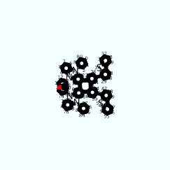 c1ccc(-n2c3ccccc3n(-c3ccccc3)c3cc4c(cc32)c2ccc(-c3cccc5c3sc3ccccc35)cc2c2cc(-c3cccc5c3sc3ccccc35)ccc2c2cc3c(cc24)n(-c2ccccc2)c2ccccc2n3-c2ccccc2)cc1